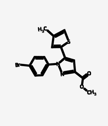 COC(=O)c1cc(-c2cc(C)cs2)n(-c2ccc(Br)cc2)n1